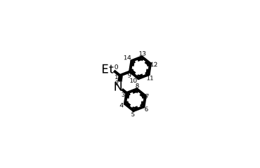 CCC(=Nc1ccccc1)c1ccccc1